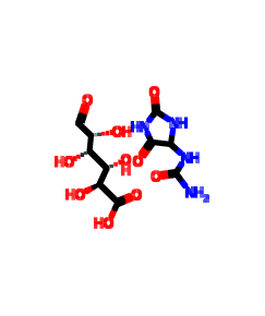 NC(=O)NC1NC(=O)NC1=O.O=C[C@H](O)[C@@H](O)[C@H](O)[C@H](O)C(=O)O